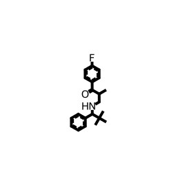 CC(CNC(c1ccccc1)C(C)(C)C)C(=O)c1ccc(F)cc1